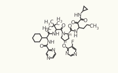 CCCC(NC(=O)[C@H]1C[C@H](Oc2ncncc2F)CN1C(=O)C(NC(=O)C(NC(=O)c1cnccn1)C1CCCCC1)C(C)(C)C)C(=O)C(=O)NC1CC1